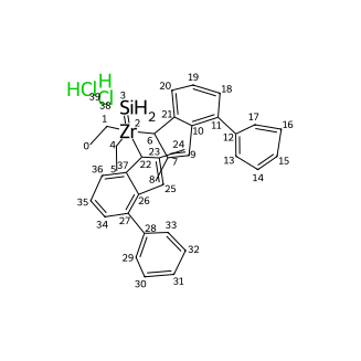 C[CH2][Zr](=[SiH2])([CH2]C)([CH]1C(C)=Cc2c(-c3ccccc3)cccc21)[CH]1C(C)=Cc2c(-c3ccccc3)cccc21.Cl.Cl